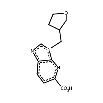 O=C(O)c1ccc2ncn(CC3CCOC3)c2n1